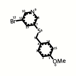 COc1ccc(CSc2cncc(Br)c2)cc1